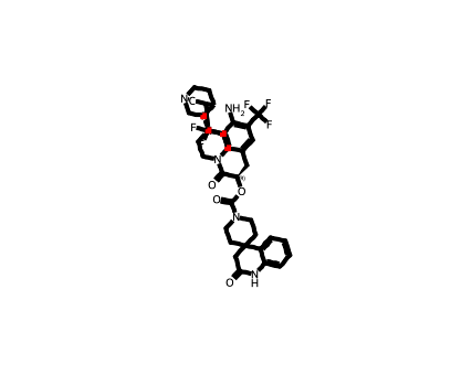 Nc1c(C(F)(F)F)cc(C[C@@H](OC(=O)N2CCC3(CC2)CC(=O)Nc2ccccc23)C(=O)N2CCN(C3CN4CCC3CC4)CC2)cc1C(F)(F)F